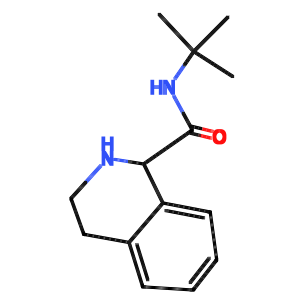 CC(C)(C)NC(=O)C1NCCc2ccccc21